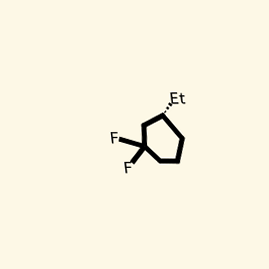 CC[C@@H]1CCCC(F)(F)C1